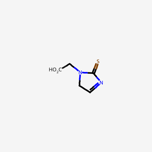 O=C(O)CN1CC=NC1=S